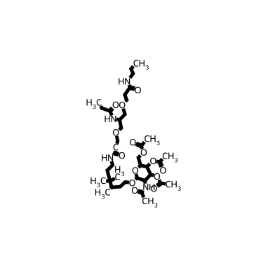 CCCNC(=O)CCOCC(COCCC(=O)NCCC(C)(C)C(C)CCOC1OC(COC(C)=O)C(OC(C)=O)C(OC(C)=O)C1NC(C)=O)NC(=O)CC